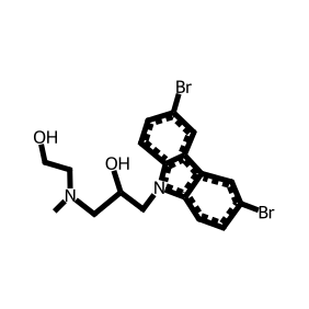 CN(CCO)CC(O)Cn1c2ccc(Br)cc2c2cc(Br)ccc21